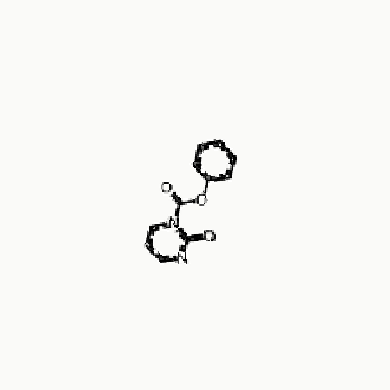 O=C(Oc1ccccc1)n1cccnc1=O